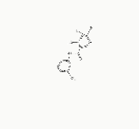 O=C(Nc1cccc(C(F)(F)F)c1)c1ccc(Br)c(Br)c1O